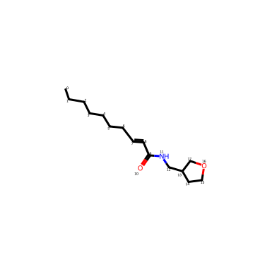 CCCCCCC/C=C/C(=O)NCC1CCOC1